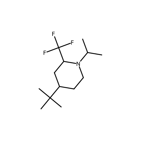 CC(C)N1CCC(C(C)(C)C)CC1C(F)(F)F